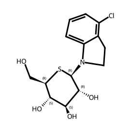 OC[C@H]1S[C@@H](N2CCc3c(Cl)cccc32)[C@H](O)[C@@H](O)[C@@H]1O